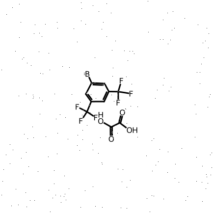 O=C(O)C(=O)O.[B]c1cc(C(F)(F)F)cc(C(F)(F)F)c1